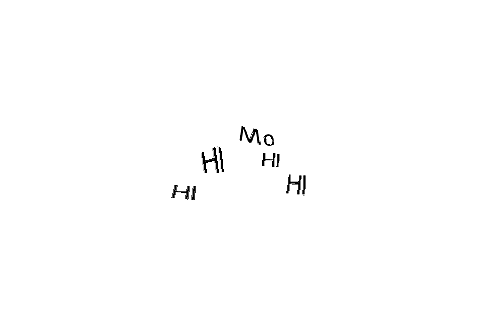 I.I.I.I.[Mo]